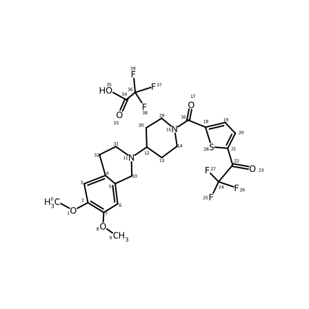 COc1cc2c(cc1OC)CN(C1CCN(C(=O)c3ccc(C(=O)C(F)(F)F)s3)CC1)CC2.O=C(O)C(F)(F)F